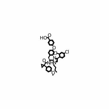 CCCCn1cc(-c2ccc(Cl)cc2Cl)nc1[C@H](Cc1ccc(Oc2ccc(C(=O)O)cc2)cc1)NC(=O)C1(c2ccc(OC)cc2)CC1